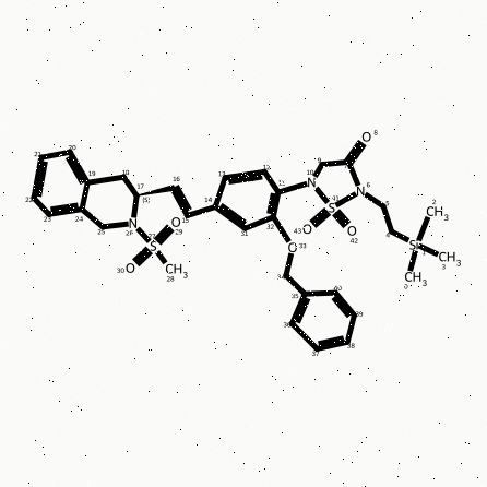 C[Si](C)(C)CCN1C(=O)CN(c2ccc(C=C[C@@H]3Cc4ccccc4CN3S(C)(=O)=O)cc2OCc2ccccc2)S1(=O)=O